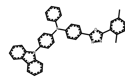 Cc1ccc(C)c(-c2nnc(-c3ccc(N(c4ccccc4)c4ccc(-n5c6ccccc6c6ccccc65)cc4)cc3)o2)c1